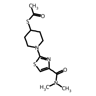 CC(=O)SC1CCN(c2nc(C(=O)N(C)C)cs2)CC1